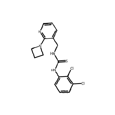 S=C(NCc1cccnc1N1CCC1)Nc1cccc(Cl)c1Cl